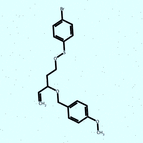 C=CC(CCOSc1ccc(Br)cc1)OCc1ccc(OC)cc1